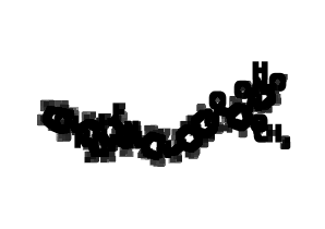 COc1ccc(C(=O)N2CCC3(CCC(CN4CCC(n5cc(N6CC=C7N=C(N8CC9CCC(C8)O9)C=CN76)c(C(F)F)n5)CC4)CC3)CC2)cc1N1CCC(=O)NC1=O